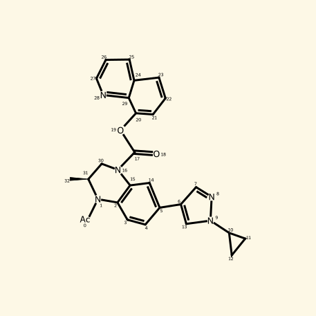 CC(=O)N1c2ccc(-c3cnn(C4CC4)c3)cc2N(C(=O)Oc2cccc3cccnc23)C[C@@H]1C